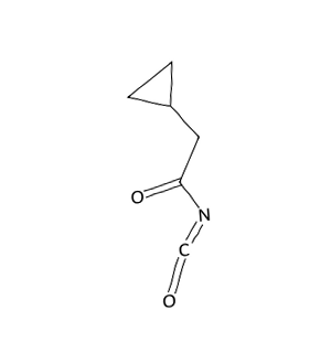 O=C=NC(=O)CC1CC1